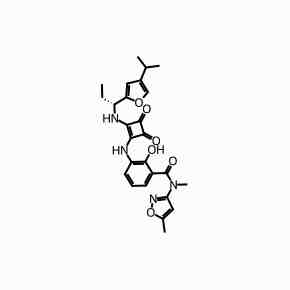 CC[C@@H](Nc1c(Nc2cccc(C(=O)N(C)c3cc(C)on3)c2O)c(=O)c1=O)c1cc(C(C)C)co1